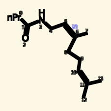 CCCC(=O)NC/C=C(/C)CCC=C(C)C